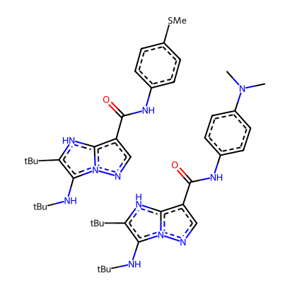 CN(C)c1ccc(NC(=O)c2cnn3c(NC(C)(C)C)c(C(C)(C)C)[nH]c23)cc1.CSc1ccc(NC(=O)c2cnn3c(NC(C)(C)C)c(C(C)(C)C)[nH]c23)cc1